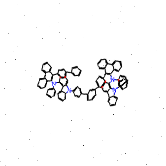 c1ccc(-c2ccc(-c3c(N(c4ccccc4)c4cccc5c4c4ccccc4n5-c4ccc(-c5cccc(-c6ccc(-c7c(N(c8ccccc8)c8cccc9c%10ccccc%10n(-c%10ccccc%10)c89)c8ccccc8c8ccccc78)cc6)c5)cc4)c4ccccc4c4ccccc34)cc2)cc1